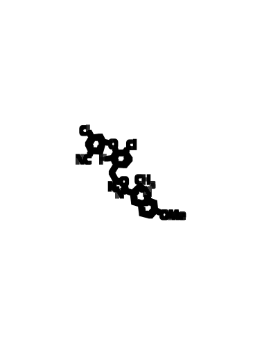 COc1ccc2cc(-c3nnc(Cc4ccc(Cl)c(Oc5cc(Cl)cc(C#N)c5)c4F)o3)c(C)nc2c1